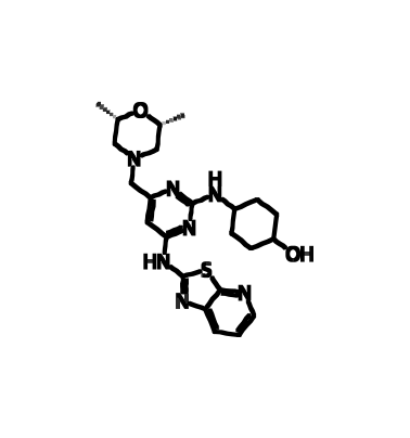 C[C@@H]1CN(Cc2cc(Nc3nc4cccnc4s3)nc(NC3CCC(O)CC3)n2)C[C@H](C)O1